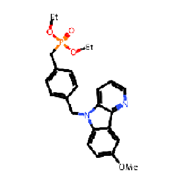 CCOP(=O)(Cc1ccc(Cn2c3ccc(OC)cc3c3ncccc32)cc1)OCC